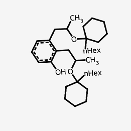 CCCCCCC1(OC(C)Cc2cccc(O)c2CC(C)OC2(CCCCCC)CCCCC2)CCCCC1